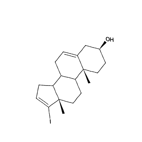 C[C@]12CC[C@H](O)CC1=CCC1C2CC[C@]2(C)C(I)=CCC12